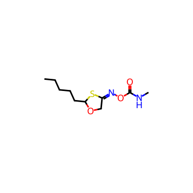 CCCCCC1OCC(=NOC(=O)NC)S1